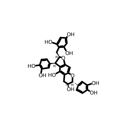 Oc1cc(O)c(C[C@H]2Oc3cc4c(c(O)c3[C@H]2c2ccc(O)c(O)c2)C[C@H](O)[C@@H](c2ccc(O)c(O)c2)O4)c(O)c1